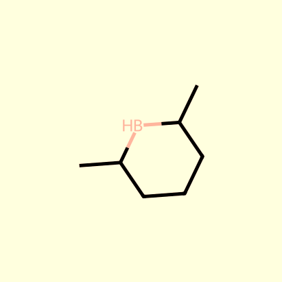 CC1BC(C)CCC1